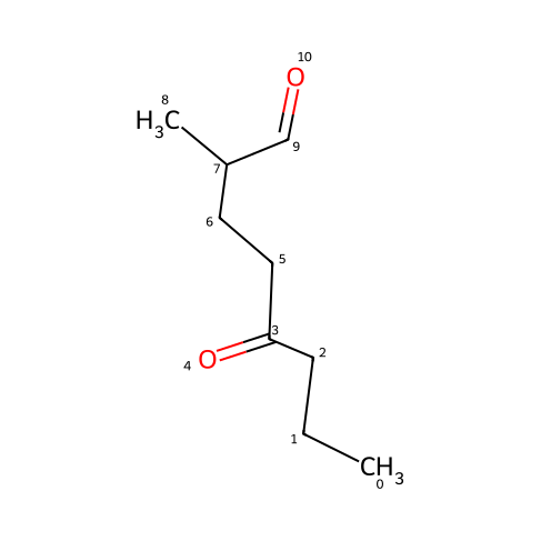 CCCC(=O)CCC(C)C=O